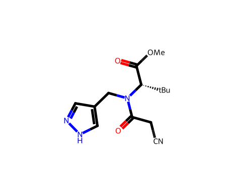 COC(=O)[C@@H](N(Cc1cn[nH]c1)C(=O)CC#N)C(C)(C)C